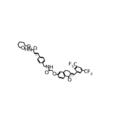 O=C(/C=C/c1ccc(CNC(=O)COc2ccc3c(c2)CC/C(=C\c2cc(C(F)(F)F)cc(C(F)(F)F)c2)C3=O)cc1)NOC1CCCCO1